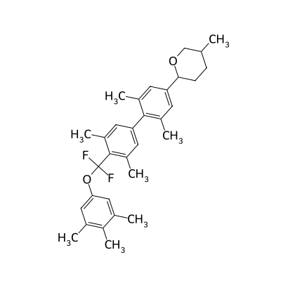 Cc1cc(OC(F)(F)c2c(C)cc(-c3c(C)cc(C4CCC(C)CO4)cc3C)cc2C)cc(C)c1C